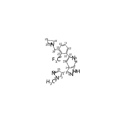 Cn1cc(-c2n[nH]c3cnc(-c4cccc(CN5CCC5)c4C(F)(F)F)cc23)cn1